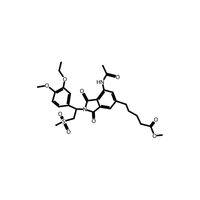 CCOc1cc(C(CS(C)(=O)=O)N2C(=O)c3cc(CCCCC(=O)OC)cc(NC(C)=O)c3C2=O)ccc1OC